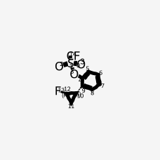 O=S(=O)(Oc1ccccc1[C@@H]1C[C@H]1F)C(F)(F)F